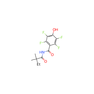 CCC(C)(C)C(=O)NC(=O)c1c(F)c(F)c(O)c(F)c1F